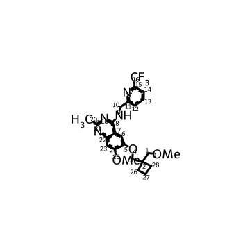 COCC1(COc2cc3c(NCc4cccc(C(F)(F)F)n4)nc(C)nc3cc2OC)CCC1